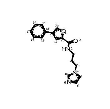 O=C(NCCCn1ccnc1)c1cc(-c2ccccc2)co1